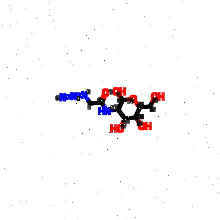 [N-]=[N+]=NCC(=O)N[C@@H]1C(O)OC(CO)[C@@H](O)C1O